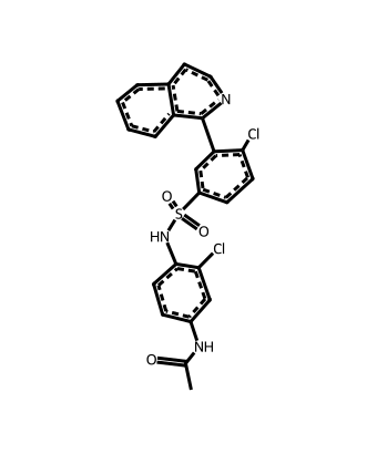 CC(=O)Nc1ccc(NS(=O)(=O)c2ccc(Cl)c(-c3nccc4ccccc34)c2)c(Cl)c1